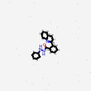 O=C(NNc1ccccc1)c1ccccc1-c1ccc2ccccc2n1